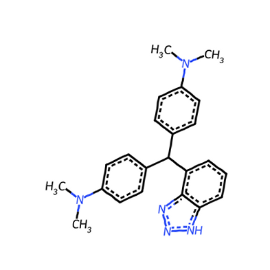 CN(C)c1ccc(C(c2ccc(N(C)C)cc2)c2cccc3[nH]nnc23)cc1